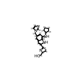 OCC1CSC(c2cc3cc(Cn4ccnc4)cc(NC4CCCC4)c3[nH]2)=N1